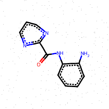 Nc1ccccc1NC(=O)c1ncccn1